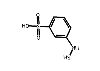 O=S(=O)(O)c1cccc(NS)c1